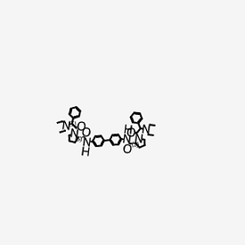 CCN(CC)C(C(=O)N1CCC[C@H]1C(=O)Nc1ccc(-c2ccc(NC(=O)[C@@H]3CCCN3C(=O)[C@H](c3ccccc3)N(CC)CC)cc2)cc1)c1ccccc1